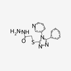 NNC(=O)CSc1nnc(-c2ccccc2)n1-c1cccnc1